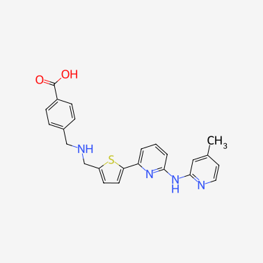 Cc1ccnc(Nc2cccc(-c3ccc(CNCc4ccc(C(=O)O)cc4)s3)n2)c1